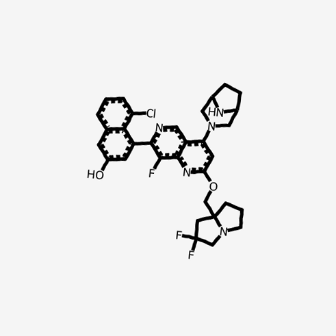 Oc1cc(-c2ncc3c(N4CC5CCC(C4)N5)cc(OCC45CCCN4CC(F)(F)C5)nc3c2F)c2c(Cl)cccc2c1